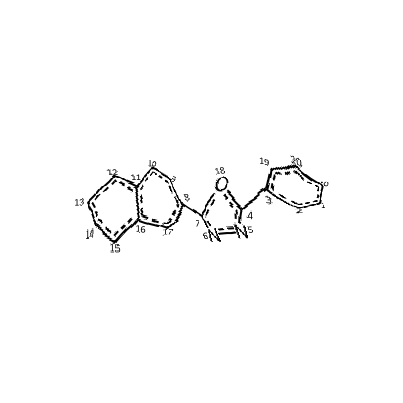 [c]1ccc(-c2nnc(-c3ccc4ccccc4c3)o2)cc1